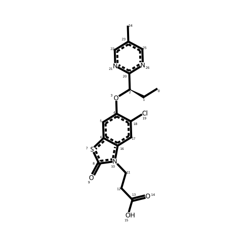 CC[C@@H](Oc1cc2sc(=O)n(CCC(=O)O)c2cc1Cl)c1ncc(C)cn1